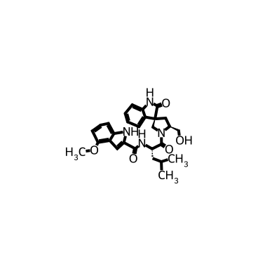 COc1cccc2[nH]c(C(=O)N[C@@H](CC(C)C)C(=O)N3C[C@]4(C[C@H]3CO)C(=O)Nc3ccccc34)cc12